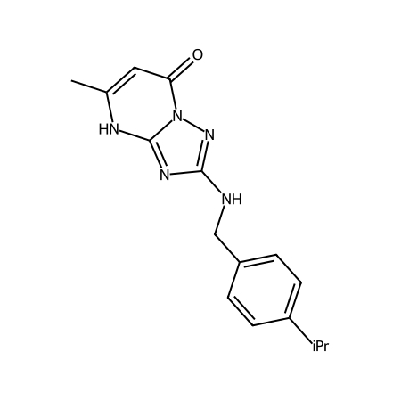 Cc1cc(=O)n2nc(NCc3ccc(C(C)C)cc3)nc2[nH]1